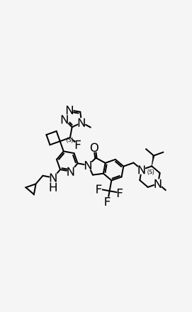 CC(C)[C@H]1CN(C)CCN1Cc1cc2c(c(C(F)(F)F)c1)CN(c1cc(C3([C@H](F)c4nncn4C)CCC3)cc(NCC3CC3)n1)C2=O